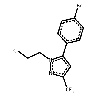 FC(F)(F)c1cc(-c2ccc(Br)cc2)n(CCCl)n1